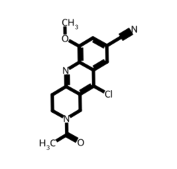 COc1cc(C#N)cc2c(Cl)c3c(nc12)CCN(C(C)=O)C3